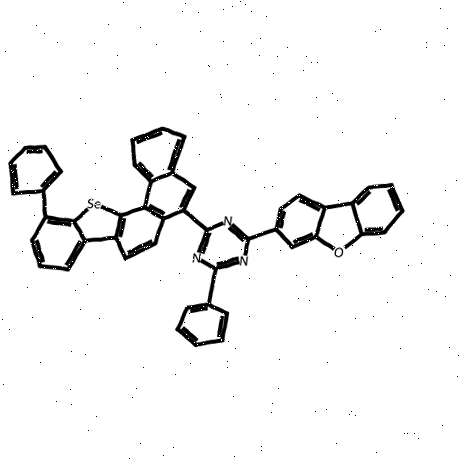 c1ccc(-c2nc(-c3ccc4c(c3)oc3ccccc34)nc(-c3cc4ccccc4c4c3ccc3c5cccc(-c6ccccc6)c5[se]c34)n2)cc1